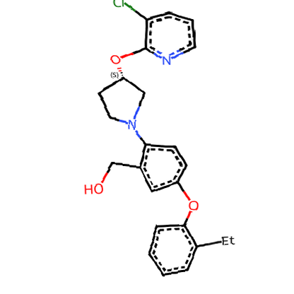 CCc1ccccc1Oc1ccc(N2CC[C@H](Oc3ncccc3Cl)C2)c(CO)c1